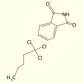 CCCCC(Cl)(Cl)Cl.O=C1NC(=O)c2ccccc21